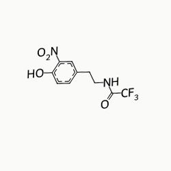 O=C(NCCc1ccc(O)c([N+](=O)[O-])c1)C(F)(F)F